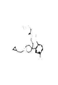 Cc1ccc(O)cc1C1(CCNC(=O)CN)CCN(CC2CC2)[C@H](C)[C@@H]1C